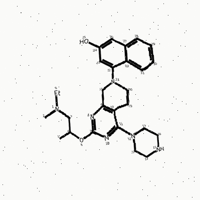 CCN(C)CC(C)Oc1nc2c(c(N3CCNCC3)n1)CCN(c1cc(O)cc3ccccc13)C2